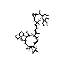 CCC(O[Si](CC)(CC)CC)C(C)C1OC1CC(C)(O)/C=C/C=C(\C)C1OC(=O)CC(O[Si](CC)(CC)CC)CCC(C)(O)C(OC(C)=O)/C=C/C1C